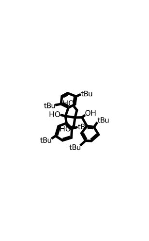 CC(C)(C)c1ccc(C(C)(C)C)c(C(O)C(CO)(CO)C(O)(c2cc(C(C)(C)C)ccc2C(C)(C)C)c2cc(C(C)(C)C)ccc2C(C)(C)C)c1